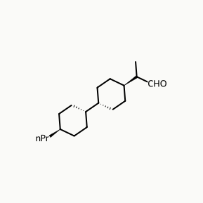 CCC[C@H]1CC[C@H]([C@H]2CC[C@H](C(C)C=O)CC2)CC1